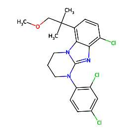 COCC(C)(C)c1ccc(Cl)c2nc3n(c12)CCCN3c1ccc(Cl)cc1Cl